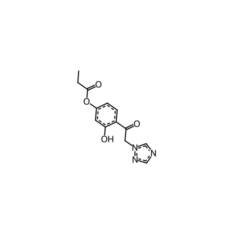 CCC(=O)Oc1ccc(C(=O)Cn2cncn2)c(O)c1